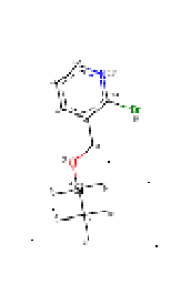 CC(C)(C)[Si](C)(C)OCc1cccnc1Br